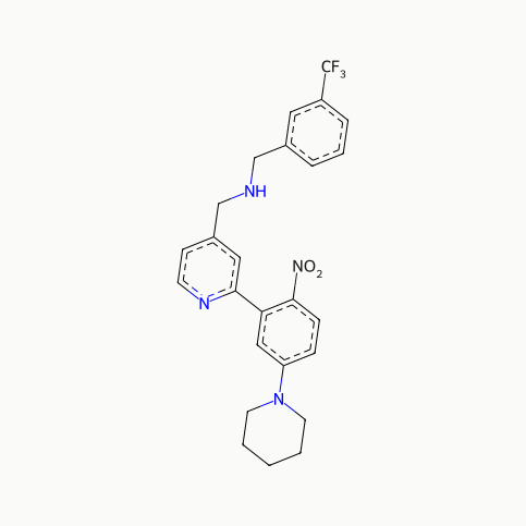 O=[N+]([O-])c1ccc(N2CCCCC2)cc1-c1cc(CNCc2cccc(C(F)(F)F)c2)ccn1